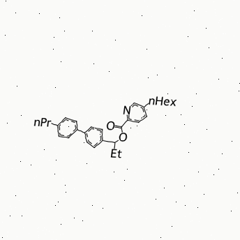 CCCCCCc1ccc(C(=O)OC(CC)c2ccc(-c3ccc(CCC)cc3)cc2)nc1